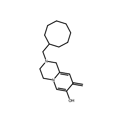 C=C1C=C2CN(CC3CCCCCCC3)CCN2C=C1O